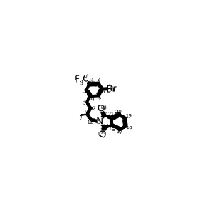 C[C@@H](CCc1cc(Br)cc(C(F)(F)F)c1)CN1C(=O)c2ccccc2C1=O